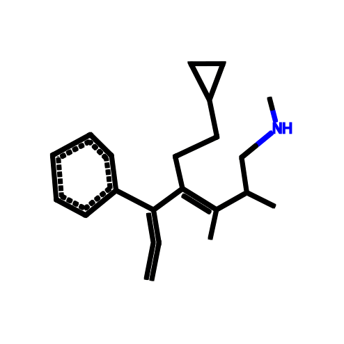 C=C=C(/C(CCC1CC1)=C(\C)C(C)CNC)c1ccccc1